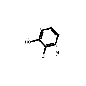 Oc1ccccc1O.[Al]